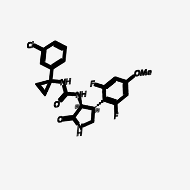 COc1cc(F)c([C@@H]2CNC(=O)[C@H]2NC(=O)NC2(c3cccc(Cl)c3)CC2)c(F)c1